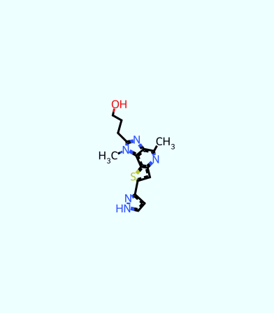 Cc1nc2cc(-c3cc[nH]n3)sc2c2c1nc(CCCO)n2C